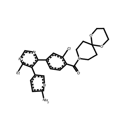 CCc1ncnc(-c2ccc(C(=O)N3CCC4(CC3)OCCCO4)c(Cl)c2)c1-c1ccc(N)nc1